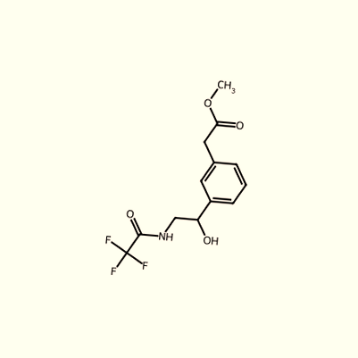 COC(=O)Cc1cccc(C(O)CNC(=O)C(F)(F)F)c1